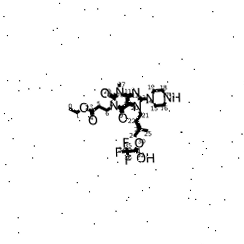 CCOC(=O)CCn1c(=O)c2c(nc(N3CCNCC3)n2CC=C(C)C)n(C)c1=O.O=C(O)C(F)(F)F